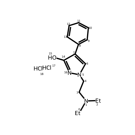 CCN(CC)CCn1cc(-c2ccccc2)c(O)n1.Cl.Cl